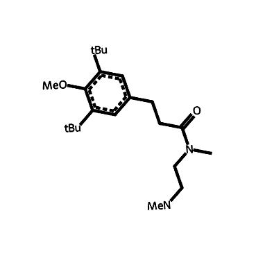 CNCCN(C)C(=O)CCc1cc(C(C)(C)C)c(OC)c(C(C)(C)C)c1